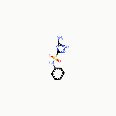 Nc1nc(S(=O)(=O)Nc2ccccc2)n[nH]1